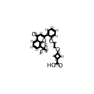 O=C(O)C1CC(OCCOc2ccccc2-c2cc(=O)c3cccc(C(F)(F)F)c3o2)C1